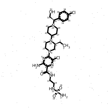 CC[C@H]1CN(c2nc(N)c(C(=O)NCCNS(N)(=O)=O)nc2Cl)CCN1C1CCN([C@@H](CO)c2ccc(Cl)cc2)CC1